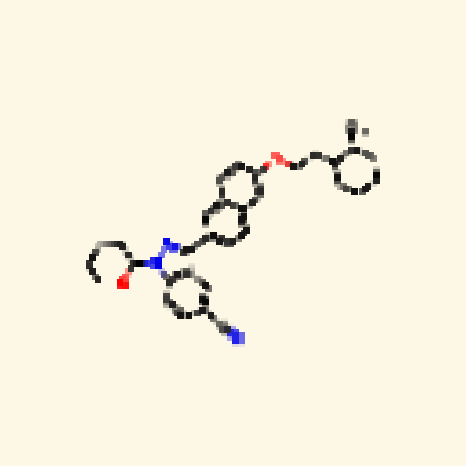 CC1CCCCC1CCOc1ccc2cc(-c3nn(C4CCCCO4)c4ccc(C#N)cc34)ccc2c1